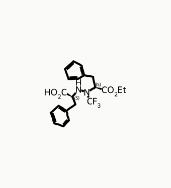 CCOC(=O)[C@H](Cc1ccccc1)N(N[C@@H](Cc1ccccc1)C(=O)O)C(F)(F)F